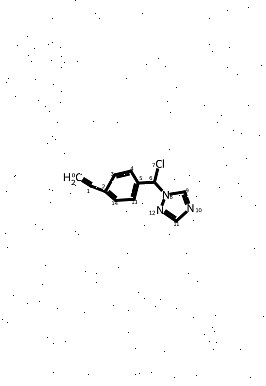 C=Cc1ccc(C(Cl)n2cncn2)cc1